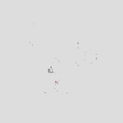 CC(C)(C)OC(=O)N1[C@@H]2CC[C@H]1CN(c1nc(OCC34CCCN3C(CO)CC4)nc3c1CCN(c1cccc4cccc(F)c14)C3)C2